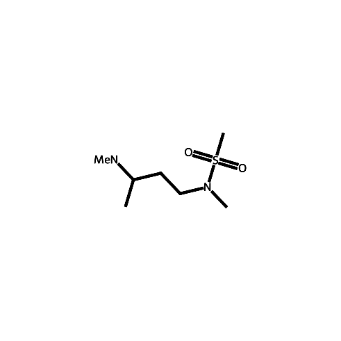 CNC(C)CCN(C)S(C)(=O)=O